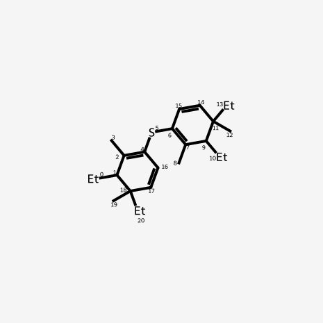 CCC1C(C)=C(SC2=C(C)C(CC)C(C)(CC)C=C2)C=CC1(C)CC